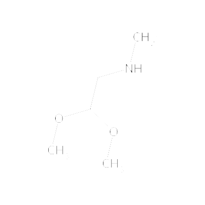 [CH2]NCC(OC)OC